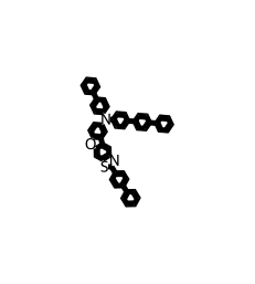 c1ccc(-c2ccc(-c3ccc(N(c4ccc(-c5ccccc5)cc4)c4ccc5oc6cc7sc(-c8ccc(-c9ccccc9)cc8)nc7cc6c5c4)cc3)cc2)cc1